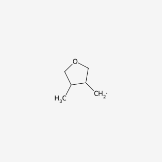 [CH2]C1COCC1C